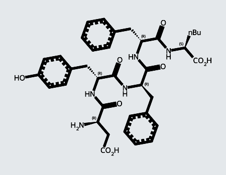 CCCC[C@H](NC(=O)[C@@H](Cc1ccccc1)NC(=O)[C@@H](Cc1ccccc1)NC(=O)[C@@H](Cc1ccc(O)cc1)NC(=O)[C@H](N)CC(=O)O)C(=O)O